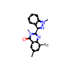 CC(=O)c1cc(C)cc2c(=O)n(C)c(-c3nn(C)c4ccccc34)nc12